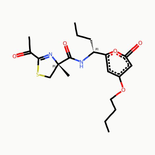 CCCCOc1cc([C@@H](CCC)NC(=O)[C@]2(C)CSC(C(C)=O)=N2)oc(=O)c1